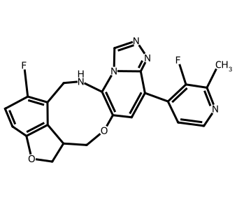 Cc1nccc(-c2cc3c(n4cnnc24)NCc2c(F)ccc4c2C(CO4)CO3)c1F